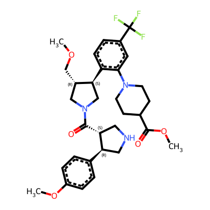 COC[C@H]1CN(C(=O)[C@@H]2CNC[C@H]2c2ccc(OC)cc2)C[C@@H]1c1ccc(C(F)(F)F)cc1N1CCC(C(=O)OC)CC1